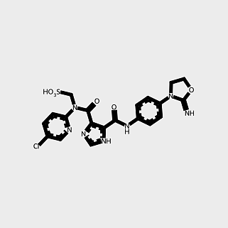 N=C1OCCN1c1ccc(NC(=O)c2[nH]cnc2C(=O)N(CS(=O)(=O)O)c2ccc(Cl)cn2)cc1